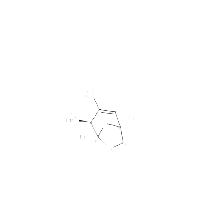 CCC1=C[C@H]2CO[C@H](O2)[C@H]1O